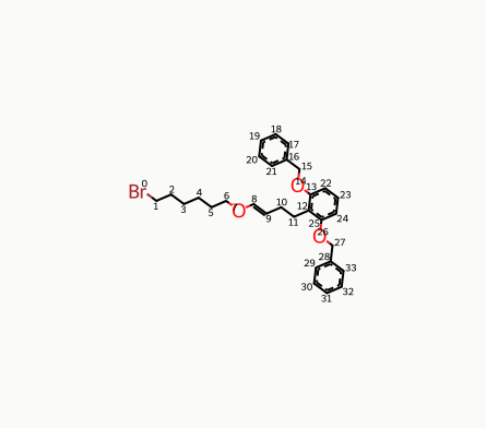 BrCCCCCCOC=CCCc1c(OCc2ccccc2)cccc1OCc1ccccc1